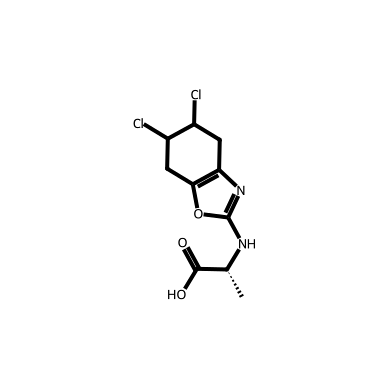 C[C@@H](Nc1nc2c(o1)CC(Cl)C(Cl)C2)C(=O)O